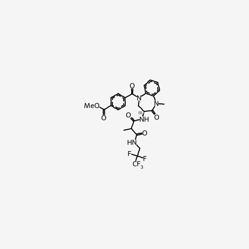 COC(=O)c1ccc(C(=O)N2C[C@H](NC(=O)C(C)C(=O)NCC(F)(F)C(F)(F)F)C(=O)N(C)c3ccccc32)cc1